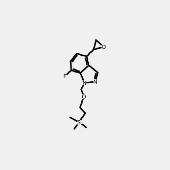 C[Si](C)(C)CCOCn1ncc2c(C3CO3)ccc(F)c21